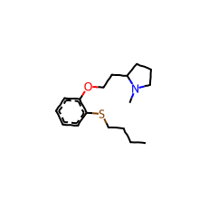 CCCCSc1ccccc1OCCC1CCCN1C